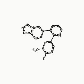 Cc1cc(-c2ncccc2-c2ccc3nncn3c2)ccc1F